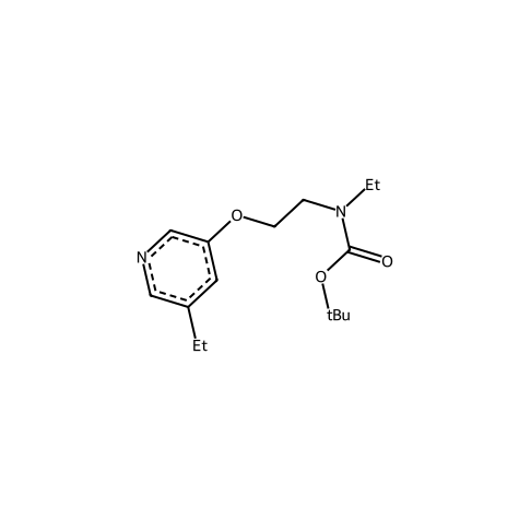 CCc1cncc(OCCN(CC)C(=O)OC(C)(C)C)c1